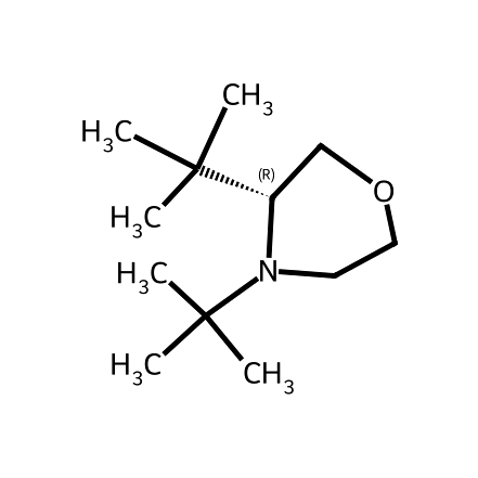 CC(C)(C)[C@@H]1COCCN1C(C)(C)C